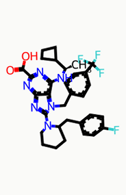 C[C@@H](Nc1nc(C(=O)O)nc2nc(N3CCCCC3Cc3ccc(F)cc3)n(Cc3ccc(C(F)(F)F)cc3)c12)C1CCC1